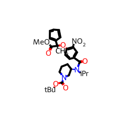 COC(=O)[C@@](C)(Oc1ccc(C(=O)N(C(C)C)[C@@H]2CCCN(C(=O)OC(C)(C)C)C2)cc1[N+](=O)[O-])c1ccccc1